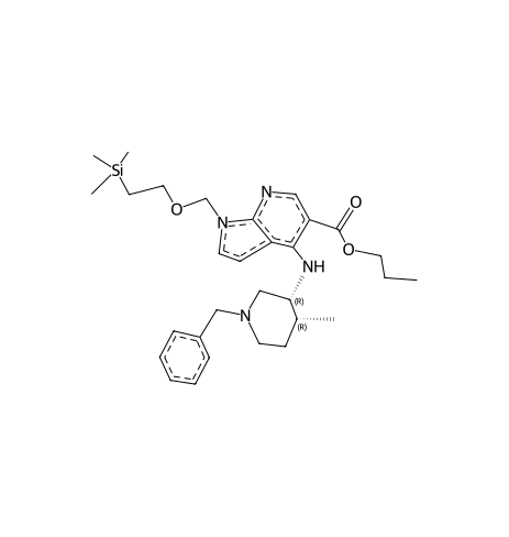 CCCOC(=O)c1cnc2c(ccn2COCC[Si](C)(C)C)c1N[C@H]1CN(Cc2ccccc2)CC[C@H]1C